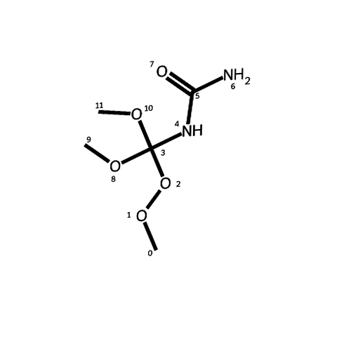 COOC(NC(N)=O)(OC)OC